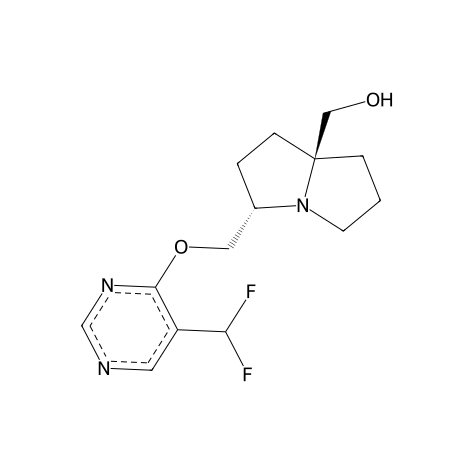 OC[C@@]12CCCN1[C@H](COc1ncncc1C(F)F)CC2